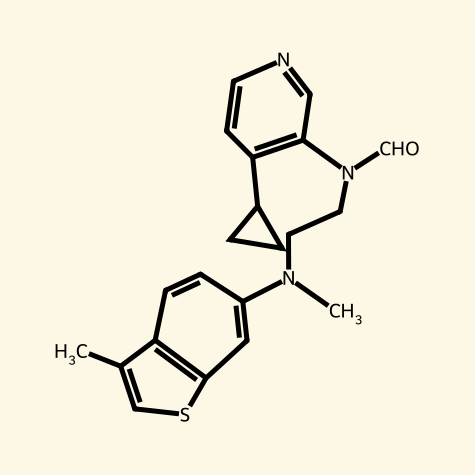 Cc1csc2cc(N(C)CCN(C=O)c3cnccc3C3CC3)ccc12